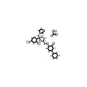 Clc1ccc(C2(Cn3ccnc3)OCC(COc3ccc(-c4ccccc4)cc3Cl)O2)c(Cl)c1.O=[N+]([O-])O